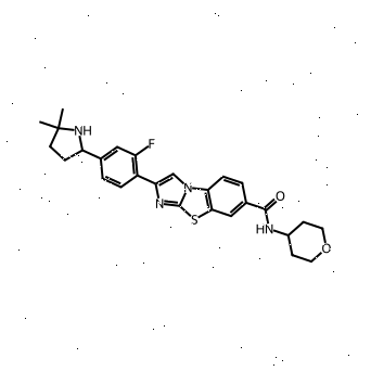 CC1(C)CCC(c2ccc(-c3cn4c(n3)sc3cc(C(=O)NC5CCOCC5)ccc34)c(F)c2)N1